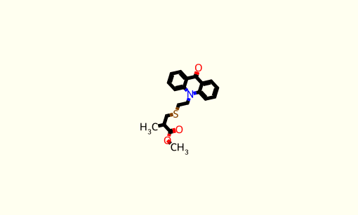 COC(=O)C(C)CSCCn1c2ccccc2c(=O)c2ccccc21